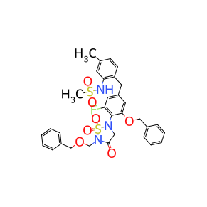 Cc1ccc(Cc2cc(F)c(N3CC(=O)N(COCc4ccccc4)S3(=O)=O)c(OCc3ccccc3)c2)c(NS(C)(=O)=O)c1